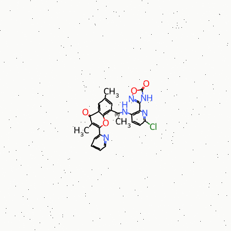 Cc1cc([C@@H](C)Nc2ccc(Cl)nc2-c2noc(=O)[nH]2)c2oc(-c3ccccn3)c(C)c(=O)c2c1